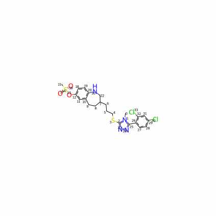 Cn1c(SCCCC2CCc3cc(OS(C)(=O)=O)ccc3NC2)nnc1-c1ccc(Cl)cc1Cl